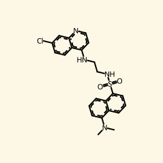 CN(C)c1cccc2c(S(=O)(=O)NCCNc3ccnc4cc(Cl)ccc34)cccc12